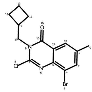 Cc1cc(Br)c2nc(Cl)n(CC3CCC3)c(=O)c2c1